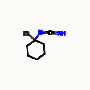 CCC1(N=C=N)CCCCC1